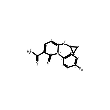 NC(=O)c1ccc(OC2CC2)n(-c2ccc(F)cc2)c1=O